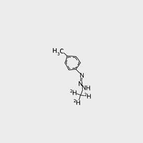 [2H]C([2H])([2H])NN=Nc1ccc(C)cc1